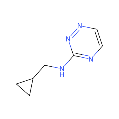 c1cnc(NCC2CC2)nn1